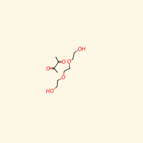 CC(=O)C(C)=O.OCCOCCOCCO